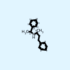 CC(CCc1ccccc1)NC(C)c1ccccc1